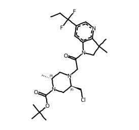 CCC(F)(F)c1cnc2c(c1)N(C(=O)CN1C[C@@H](C)N(C(=O)OC(C)(C)C)C[C@@H]1CCl)CC2(C)C